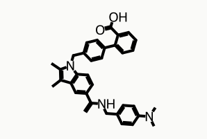 C=C(NCc1ccc(N(C)C)cc1)c1ccc2c(c1)c(C)c(C)n2Cc1ccc(-c2ccccc2C(=O)O)cc1